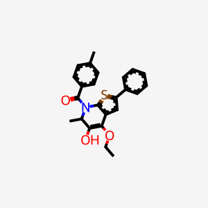 CCOC1=C(O)C(C)N(C(=O)c2ccc(C)cc2)c2sc(-c3ccccc3)cc21